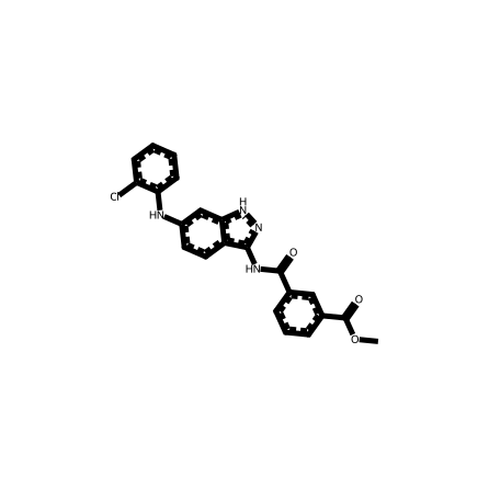 COC(=O)c1cccc(C(=O)Nc2n[nH]c3cc(Nc4ccccc4Cl)ccc23)c1